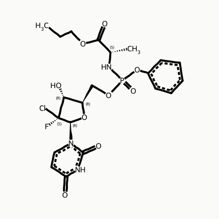 CCCOC(=O)[C@H](C)NP(=O)(OC[C@H]1O[C@@H](n2ccc(=O)[nH]c2=O)[C@@](F)(Cl)[C@@H]1O)Oc1ccccc1